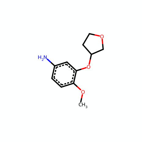 COc1ccc(N)cc1OC1CCOC1